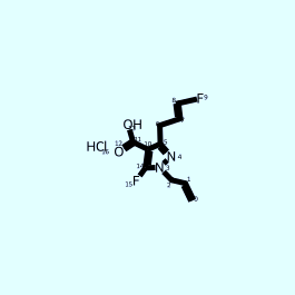 C=CCn1nc(CC=CF)c(C(=O)O)c1F.Cl